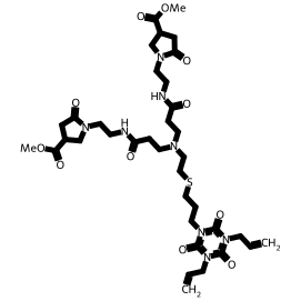 C=CCn1c(=O)n(CC=C)c(=O)n(CCCSCCN(CCC(=O)NCCN2CC(C(=O)OC)CC2=O)CCC(=O)NCCN2CC(C(=O)OC)CC2=O)c1=O